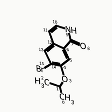 CC(C)Oc1cc2c(=O)[nH]ccc2cc1Br